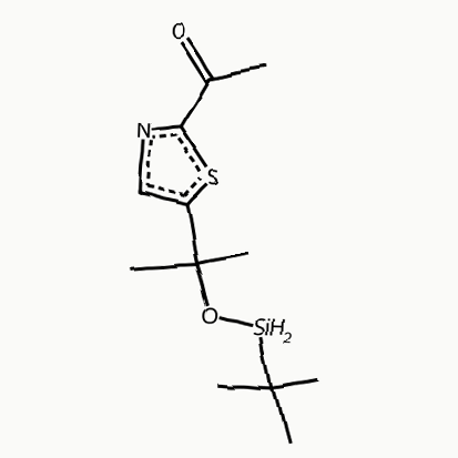 CC(=O)c1ncc(C(C)(C)O[SiH2]C(C)(C)C)s1